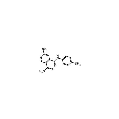 NC(=O)c1ccc(N)cc1C(=O)Nc1ccc(N)cc1